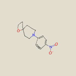 O=[N+]([O-])c1ccc(N2CCC3(CCO3)CC2)cc1